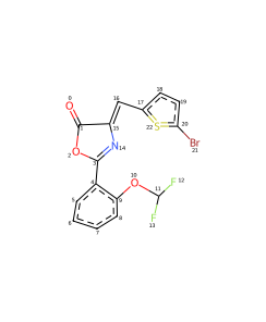 O=C1OC(c2ccccc2OC(F)F)=N/C1=C\c1ccc(Br)s1